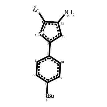 CC(=O)c1sc(-c2ccc(C(C)(C)C)cc2)cc1N